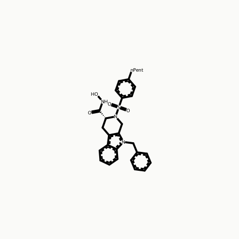 CCCCCc1ccc(S(=O)(=O)N2Cc3c(c4ccccc4n3Cc3ccccc3)C[C@@H]2C(=O)NO)cc1